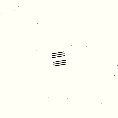 C#C.C#C